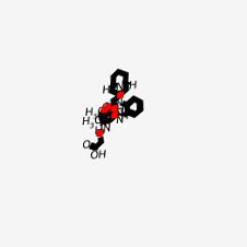 CC(=NOCC(=O)O)c1nc2ccccc2n(C2C[C@H]3CCC[C@@H](C2)N3CC[C@@H]2CC[C@H]3C[C@@H]2C3(C)C)c1=O